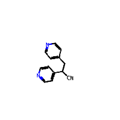 N#CC(Cc1ccncc1)c1ccncc1